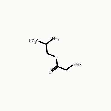 CCCCCCCC(=O)OCC(N)C(=O)O